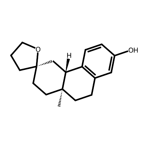 C[C@@]12CCc3cc(O)ccc3[C@H]1C[C@@]1(CCCO1)CC2